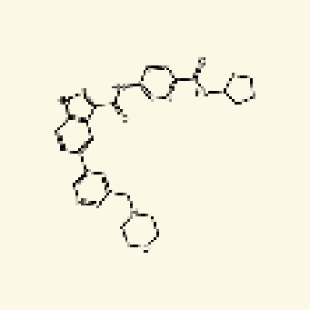 O=C(NC1CCCC1)c1ccc(NC(=O)c2n[nH]c3ccc(-c4cncc(CN5CCOCC5)c4)cc23)cn1